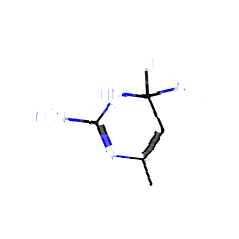 CCC1(N)C=C(C)N=C(N)N1